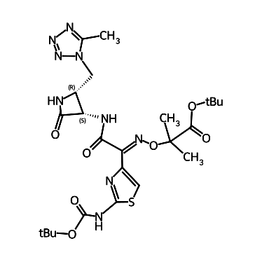 Cc1nnnn1C[C@H]1NC(=O)[C@H]1NC(=O)C(=NOC(C)(C)C(=O)OC(C)(C)C)c1csc(NC(=O)OC(C)(C)C)n1